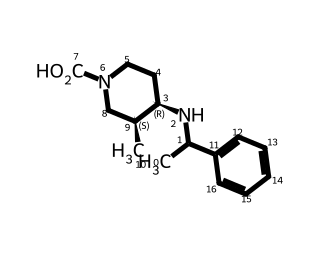 CC(N[C@@H]1CCN(C(=O)O)C[C@@H]1C)c1ccccc1